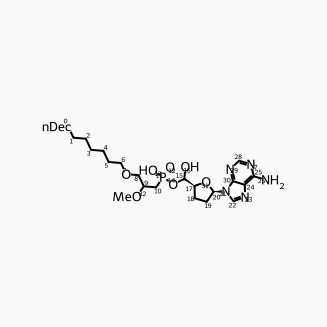 CCCCCCCCCCCCCCCCOCC(CP(=O)(O)OC(O)[C@@H]1CC[C@H](n2cnc3c(N)ncnc32)O1)OC